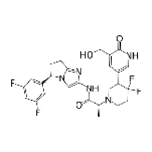 C[C@@H](C(=O)Nc1cn2c(n1)CC[C@@H]2c1cc(F)cc(F)c1)N1CCC(F)(F)C(c2c[nH]c(=O)c(CO)c2)C1